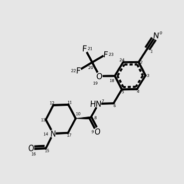 N#Cc1ccc(CNC(=O)[C@@H]2CCCN(C=O)C2)c(OC(F)(F)F)c1